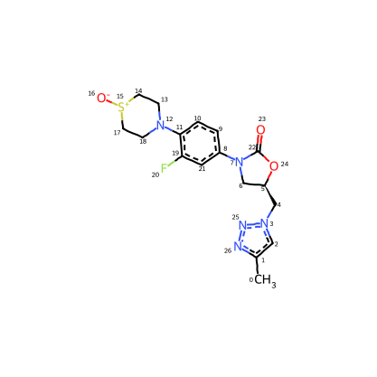 Cc1cn(C[C@H]2CN(c3ccc(N4CC[S+]([O-])CC4)c(F)c3)C(=O)O2)nn1